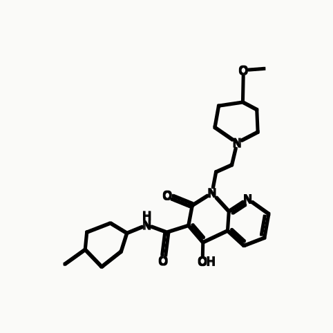 COC1CCN(CCn2c(=O)c(C(=O)NC3CCC(C)CC3)c(O)c3cccnc32)CC1